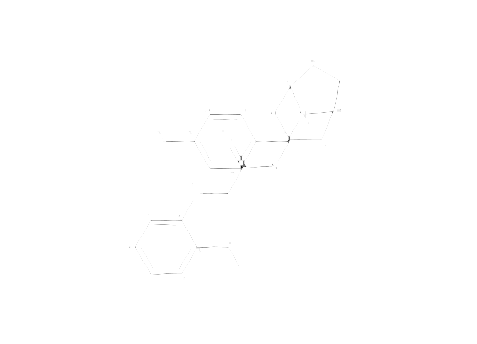 O=C(COc1ccccc1CO)NC1CC2CCC(C1)N2Cc1ccc(Cl)cc1